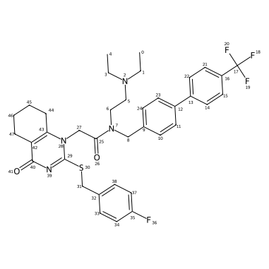 CCN(CC)CCN(Cc1ccc(-c2ccc(C(F)(F)F)cc2)cc1)C(=O)Cn1c(SCc2ccc(F)cc2)nc(=O)c2c1CCCC2